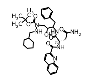 CC(C)(C)OC(=O)N(CC(O)C(Cc1ccccc1)NC(=O)[C@H](CC(N)=O)NC(=O)c1ccc2ccccc2n1)NCC1CCCCC1